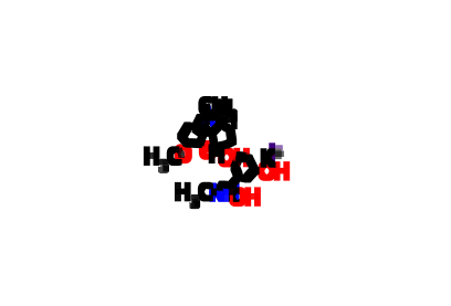 CNCC(O)c1cccc(O)c1.COc1ccc2c3c1O[C@H]1[C@@H](O)C=C[C@H]4[C@@H](C2)N(C)CC[C@@]341.[I-].[K+]